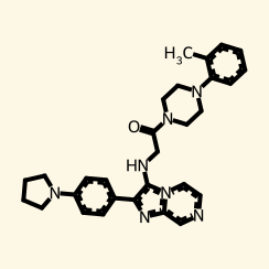 Cc1ccccc1N1CCN(C(=O)CNc2c(-c3ccc(N4CCCC4)cc3)nc3cnccn23)CC1